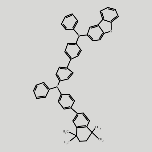 CC1(C)CCC(C)(C)c2cc(-c3ccc(N(c4ccccc4)c4ccc(-c5ccc(N(c6ccccc6)c6ccc7sc8ccccc8c7c6)cc5)cc4)cc3)ccc21